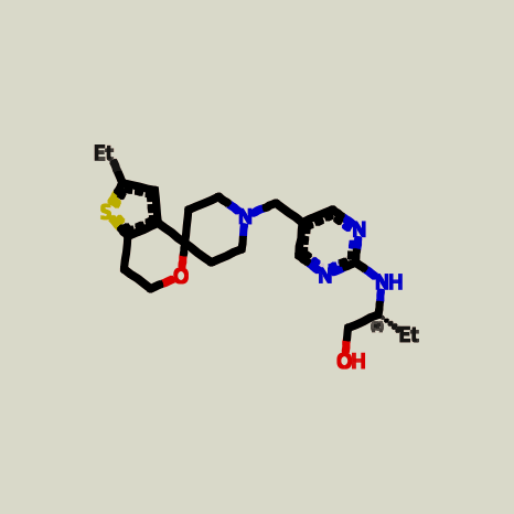 CCc1cc2c(s1)CCOC21CCN(Cc2cnc(N[C@H](CC)CO)nc2)CC1